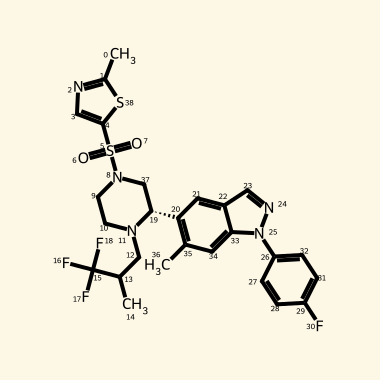 Cc1ncc(S(=O)(=O)N2CCN(CC(C)C(F)(F)F)[C@@H](c3cc4cnn(-c5ccc(F)cc5)c4cc3C)C2)s1